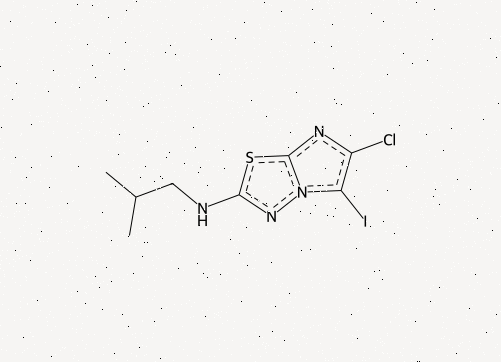 CC(C)CNc1nn2c(I)c(Cl)nc2s1